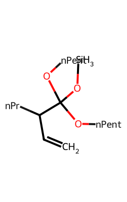 C=CC(CCC)C(O[SiH3])(OCCCCC)OCCCCC